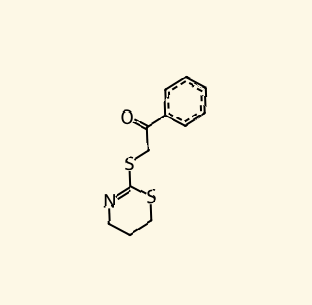 O=C(CSC1=NCCCS1)c1ccccc1